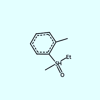 CC[SH](C)(=O)c1ccccc1C